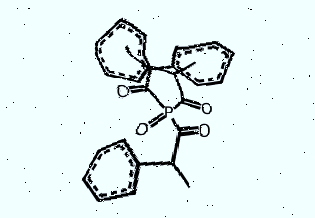 CC(C(=O)P(=O)(C(=O)C(C)c1ccccc1)C(=O)C(C)c1ccccc1)c1ccccc1